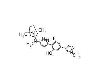 CN(c1ccc(-c2c(O)cc(-c3cnn(C)c3)cc2F)nn1)[C@H]1C[C@]2(C)CC[C@](C)(C1)N2